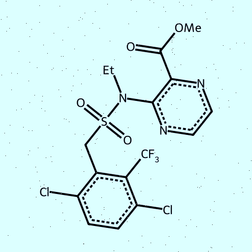 CCN(c1nccnc1C(=O)OC)S(=O)(=O)Cc1c(Cl)ccc(Cl)c1C(F)(F)F